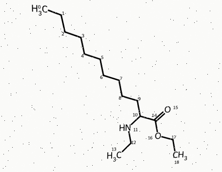 CCCCCCCCCCC(NCC)C(=O)OCC